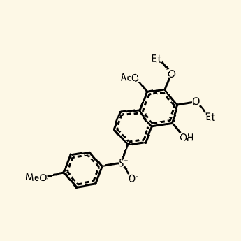 CCOc1c(OCC)c(OC(C)=O)c2ccc([S+]([O-])c3ccc(OC)cc3)cc2c1O